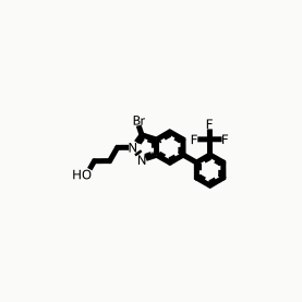 OCCCn1nc2cc(-c3ccccc3C(F)(F)F)ccc2c1Br